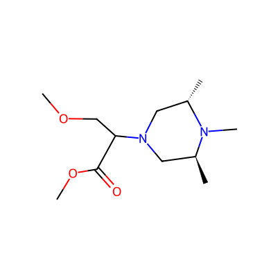 COCC(C(=O)OC)N1C[C@H](C)N(C)[C@@H](C)C1